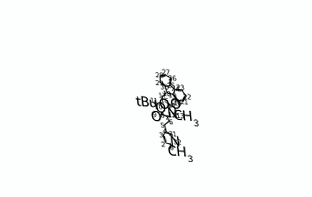 Cc1ccc(CCC(C(=O)OC(C)(C)C)N(C)C(=O)OCC2c3ccccc3-c3ccccc32)cn1